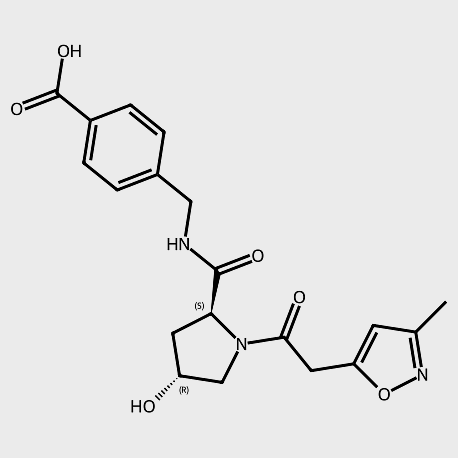 Cc1cc(CC(=O)N2C[C@H](O)C[C@H]2C(=O)NCc2ccc(C(=O)O)cc2)on1